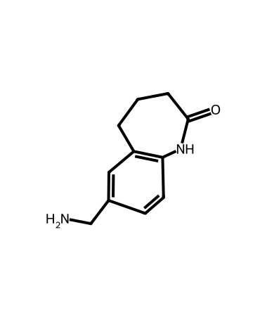 NCc1ccc2c(c1)CCCC(=O)N2